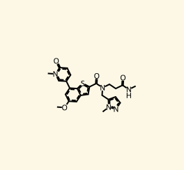 CNC(=O)CCN(Cc1ccnn1C)C(=O)c1cc2cc(OC)cc(-c3ccc(=O)n(C)c3)c2s1